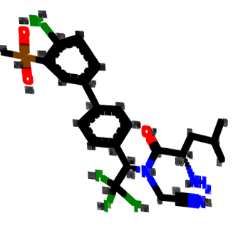 CC(C)C[C@H](N)C(=O)N(CC#N)[C@@H](c1ccc(-c2ccc(Br)c(S(C)(=O)=O)c2)cc1)C(F)(F)F